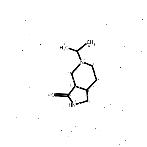 CC(C)N1CCC2CNC(=O)C2C1